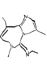 C/N=c1/n(C)cc(C)c2ncc(C)n12